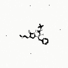 CSCC[C@@H]1C[C@@H](C(Cc2ccccc2)NC(=O)OC(C)(C)C)OC1=O